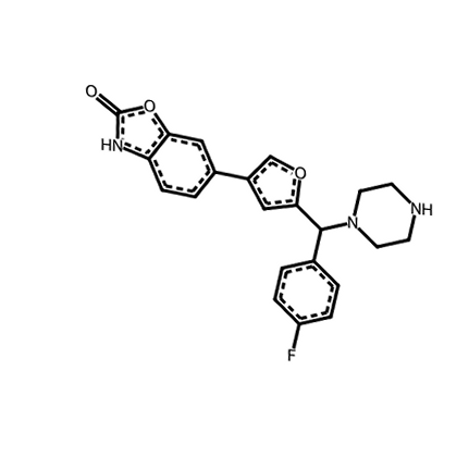 O=c1[nH]c2ccc(-c3coc(C(c4ccc(F)cc4)N4CCNCC4)c3)cc2o1